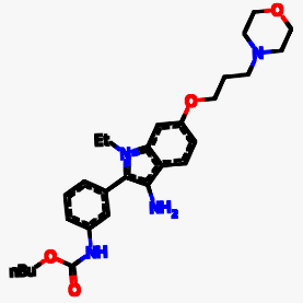 CCCCOC(=O)Nc1cccc(-c2c(N)c3ccc(OCCCN4CCOCC4)cc3n2CC)c1